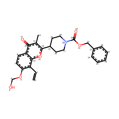 C=Cc1c(OCO)ccc2c(=O)c(C)c(C3CCN(C(=O)OCc4ccccc4)CC3)oc12